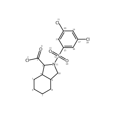 O=C(Cl)C1C2CCCCC2CN1S(=O)(=O)c1cc(Cl)cc(Cl)c1